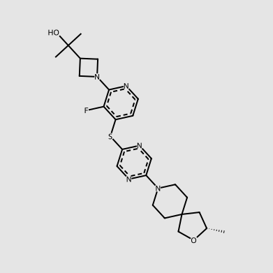 C[C@H]1CC2(CCN(c3cnc(Sc4ccnc(N5CC(C(C)(C)O)C5)c4F)cn3)CC2)CO1